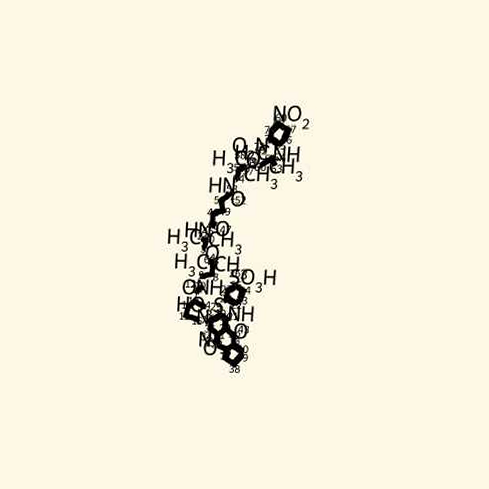 CC(C)(COC(C)(C)CCNC(=O)[C@H]1CCCN(c2cc(Nc3ccc(S(=O)(=O)O)cc3S(=O)(=O)O)c3c4c(onc24)-c2ccccc2C3=O)C1)NC(=O)CCCC(=O)NCCC(C)(C)OCC(C)(C)Nc1ccc([N+](=O)[O-])cc1[N+](=O)[O-]